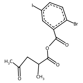 CC(=O)CC(C)C(=O)OC(=O)c1cc(I)ccc1Br